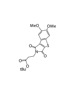 COc1cc2sc3c(c2cc1OC)C(=O)N(CCC(=O)OC(C)(C)C)C3=O